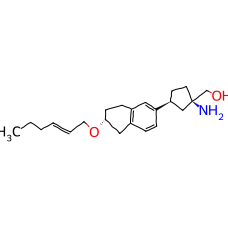 CCC/C=C/CO[C@@H]1CCc2cc([C@H]3CC[C@](N)(CO)C3)ccc2C1